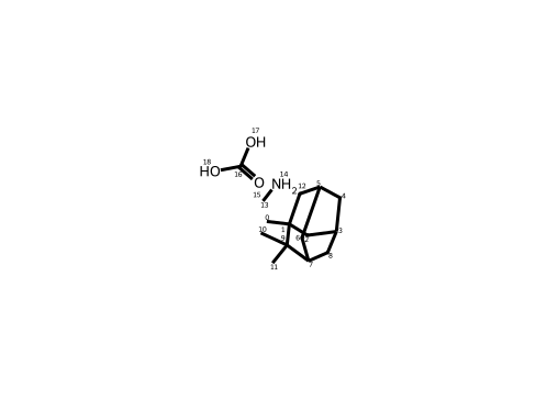 CC12CC3CC(CC(C3)C1(C)C)C2.CN.O=C(O)O